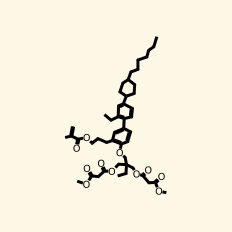 C=C(C)C(=O)OCCCc1cc(-c2ccc(C3CCC(CCCCCCC)CC3)cc2CC)ccc1OCC(CC)(COC(=O)CC(=O)OC)COC(=O)CC(=O)OC